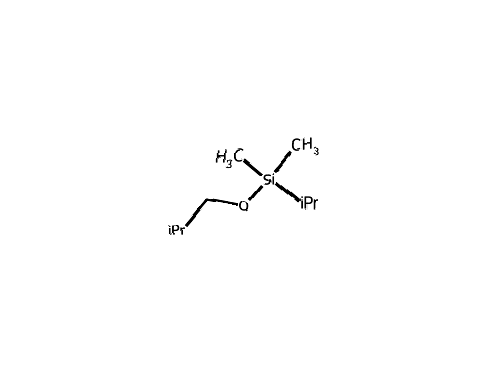 CC(C)CO[Si](C)(C)C(C)C